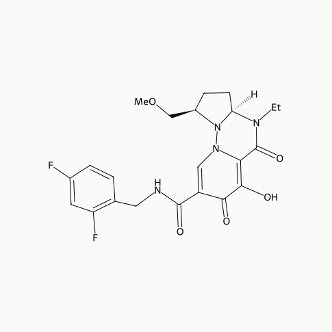 CCN1C(=O)c2c(O)c(=O)c(C(=O)NCc3ccc(F)cc3F)cn2N2[C@@H](COC)CC[C@@H]12